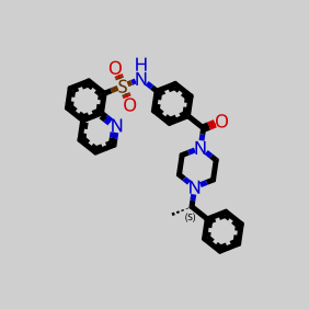 C[C@@H](c1ccccc1)N1CCN(C(=O)c2ccc(NS(=O)(=O)c3cccc4cccnc34)cc2)CC1